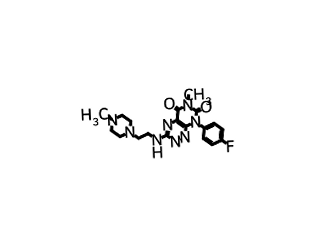 CN1CCN(CCNc2nnc3c(n2)c(=O)n(C)c(=O)n3-c2ccc(F)cc2)CC1